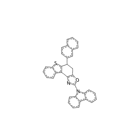 c1ccc2cc(C3Cc4oc(-n5c6ccccc6c6ccccc65)nc4-c4c3sc3ccccc43)ccc2c1